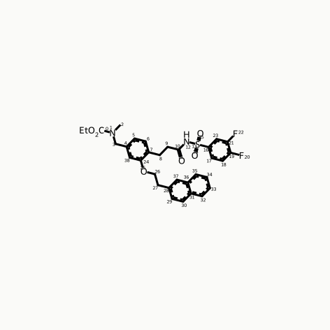 CCOC(=O)N(C)Cc1ccc(CCC(=O)NS(=O)(=O)c2ccc(F)c(F)c2)c(OCCc2ccc3ccccc3c2)c1